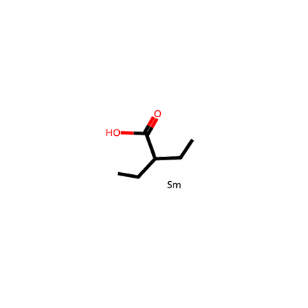 CCC(CC)C(=O)O.[Sm]